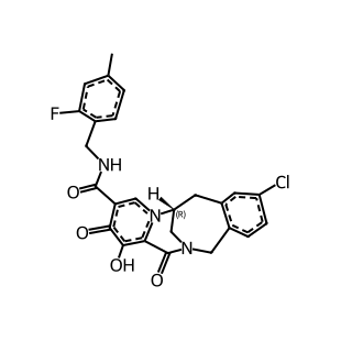 Cc1ccc(CNC(=O)c2cn3c(c(O)c2=O)C(=O)N2Cc4ccc(Cl)cc4C[C@@H]3C2)c(F)c1